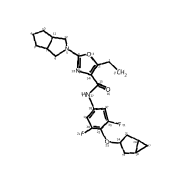 CCc1oc(N2CC3CCCC3C2)nc1C(=O)Nc1cc(F)c(OC2CC3CC3C2)c(F)c1